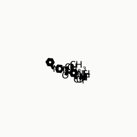 COc1cc(NC(=O)C(F)(F)F)c(Cl)cc1C(=O)N(C)C1CCN(Cc2ccccc2)CC1